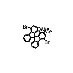 COc1ccc(Br)c2c1C1(c3ccccc3-2)c2ccccc2-c2c(Br)ccc(OC)c21